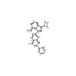 Cc1cc(-c2ccccn2)nc2cc(-c3nn(C4CCC4)c4ncnc(N)c34)ccc12